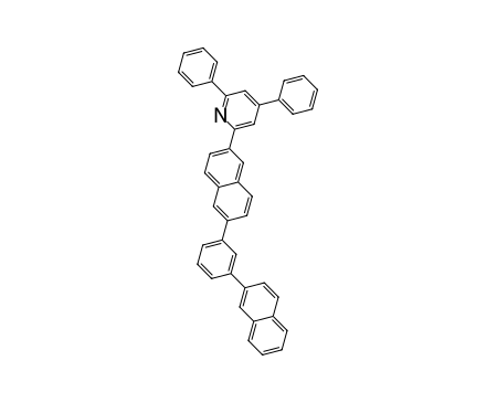 c1ccc(-c2cc(-c3ccccc3)nc(-c3ccc4cc(-c5cccc(-c6ccc7ccccc7c6)c5)ccc4c3)c2)cc1